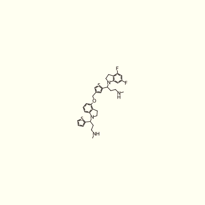 CNCCC(c1cc(COc2cccc3c2CCN3C(CCNC)c2cccs2)cs1)N1CCc2c(F)cc(F)cc21